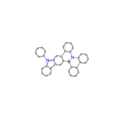 c1ccc(-n2c3ccccc3c3cc4c(cc32)-c2ccccc2N2B4c3ccccc3-c3ccccc32)cc1